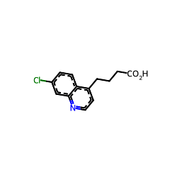 O=C(O)CCCc1ccnc2cc(Cl)ccc12